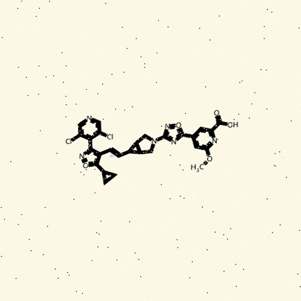 COc1cc(-c2nc(N3CC4C(/C=C/c5c(-c6c(Cl)cncc6Cl)noc5C5CC5)C4C3)no2)cc(C(=O)O)n1